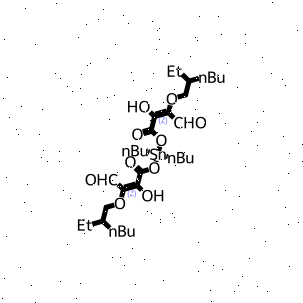 CCCCC(CC)CO/C(C=O)=C(\O)C(=O)[O][Sn]([CH2]CCC)([CH2]CCC)[O]C(=O)/C(O)=C(\C=O)OCC(CC)CCCC